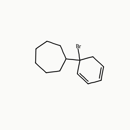 BrC1(C2CCCCCC2)C=CC=CC1